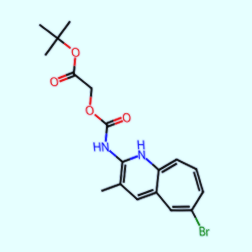 CC1=C(NC(=O)OCC(=O)OC(C)(C)C)NC2=CC=CC(Br)=CC2=C1